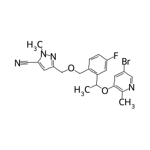 Cc1ncc(Br)cc1OC(C)c1cc(F)ccc1COCc1cc(C#N)n(C)n1